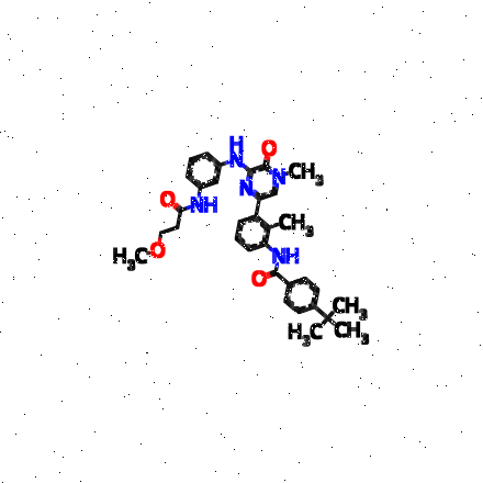 COCCC(=O)Nc1cccc(Nc2nc(-c3cccc(NC(=O)c4ccc(C(C)(C)C)cc4)c3C)cn(C)c2=O)c1